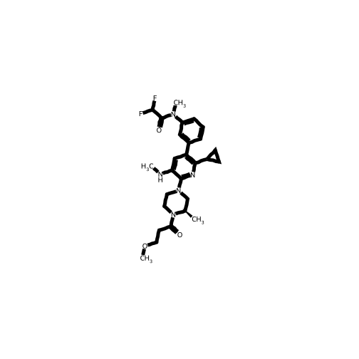 CNc1cc(-c2cccc(N(C)C(=O)C(F)F)c2)c(C2CC2)nc1N1CCN(C(=O)CCOC)[C@H](C)C1